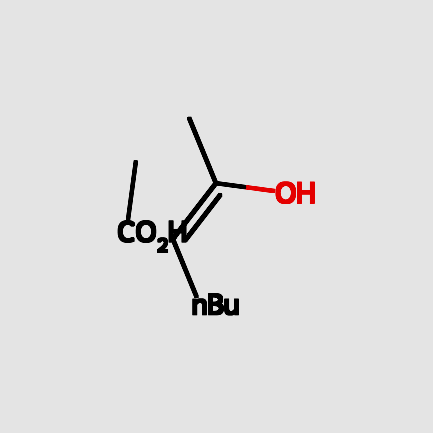 CC(=O)O.CCCCC=C(C)O